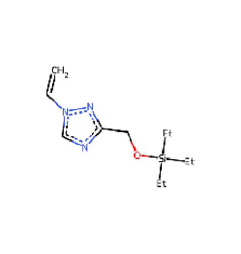 C=Cn1cnc(CO[Si](CC)(CC)CC)n1